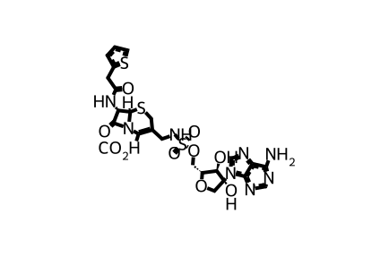 Nc1ncnc2c1ncn2[C@@]1(O)CO[C@H](COS(=O)(=O)NCC2=C(C(=O)O)N3C(=O)[C@@H](NC(=O)Cc4cccs4)[C@H]3SC2)[C@H]1O